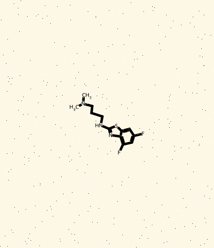 CN(C)CCCNc1nc2c(F)cc(F)cc2s1